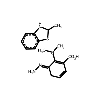 CC1Nc2ccccc2S1.CN(C)C1=C(C(=O)O)C=CCC1=NN